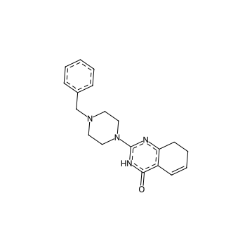 O=c1[nH]c(N2CCN(Cc3ccccc3)CC2)nc2c1C=CCC2